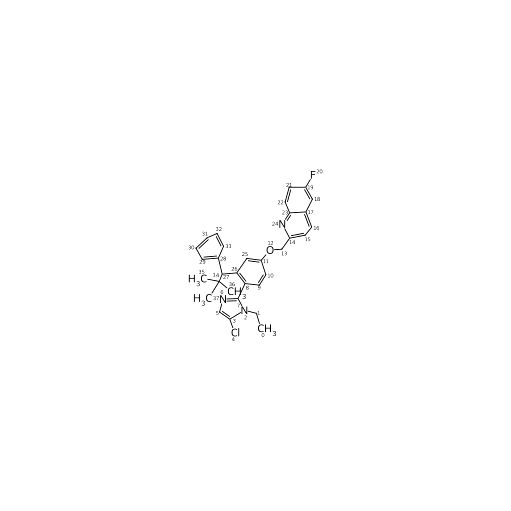 CCn1c(Cl)cnc1-c1ccc(OCc2ccc3cc(F)ccc3n2)cc1C(c1ccccc1)C(C)(C)C